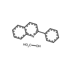 O=C(O)O.c1ccc(-c2ccc3ccccc3n2)cc1